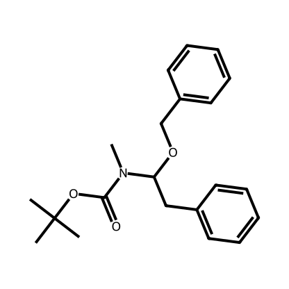 CN(C(=O)OC(C)(C)C)C(Cc1ccccc1)OCc1ccccc1